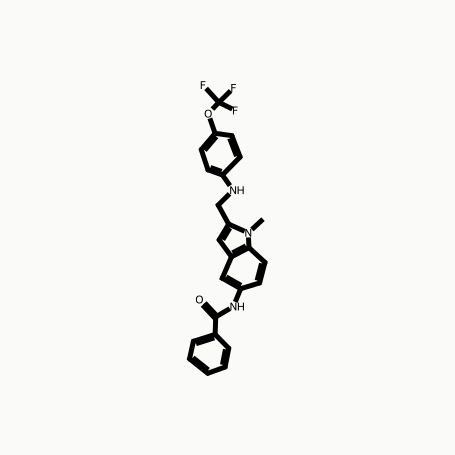 Cn1c(CNc2ccc(OC(F)(F)F)cc2)cc2cc(NC(=O)c3ccccc3)ccc21